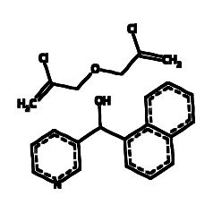 C=C(Cl)COCC(=C)Cl.OC(c1cccnc1)c1cccc2ccccc12